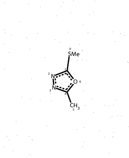 CSc1nnc(C)o1